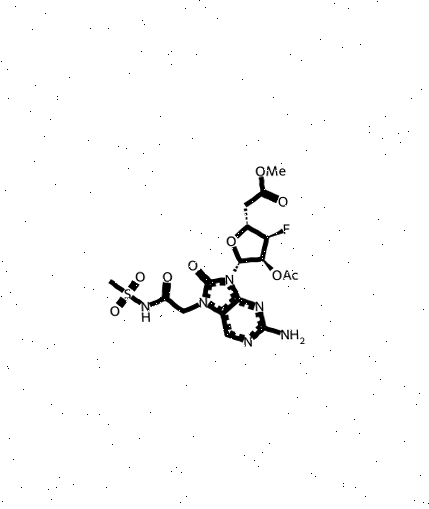 COC(=O)C[C@H]1O[C@@H](n2c(=O)n(CC(=O)NS(C)(=O)=O)c3cnc(N)nc32)[C@H](OC(C)=O)[C@@H]1F